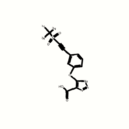 [2H]C([2H])([2H])S(=O)(=O)C#Cc1cccc(Oc2[nH]nnc2C(=O)O)c1